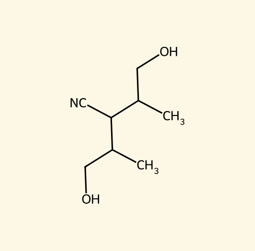 CC(CO)C(C#N)C(C)CO